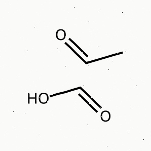 CC=O.O=CO